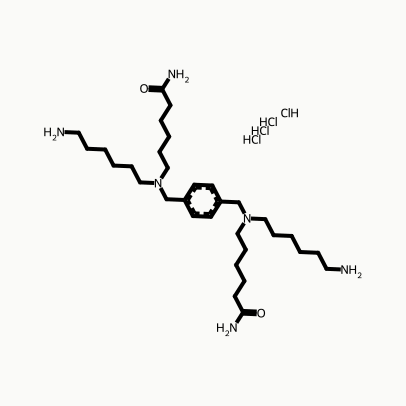 Cl.Cl.Cl.Cl.NCCCCCCN(CCCCCC(N)=O)Cc1ccc(CN(CCCCCCN)CCCCCC(N)=O)cc1